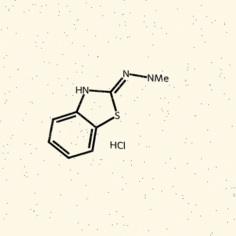 CNN=c1[nH]c2ccccc2s1.Cl